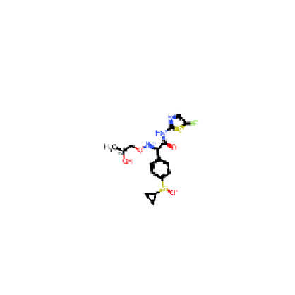 C[C@H](O)CO/N=C(/C(=O)Nc1ncc(F)s1)c1ccc([S+]([O-])C2CC2)cc1